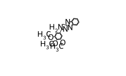 COc1cc(/C=N/C2(CN)N=c3ccccc3=N2)cc(OC)c1OC